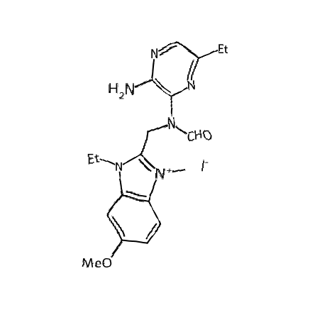 CCc1cnc(N)c(N(C=O)Cc2n(CC)c3cc(OC)ccc3[n+]2C)n1.[I-]